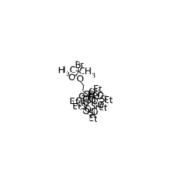 CC[Si]12O[Si]3(CC)O[Si]4(CC)O[Si](CC)(O1)O[Si]1(CC)O[Si](CC)(O2)O[Si](CC)(O3)O[Si](CCCOC(=O)C(C)(C)Br)(O4)O1